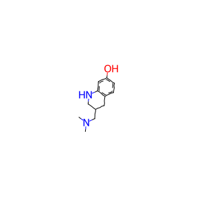 CN(C)CC1CNc2cc(O)ccc2C1